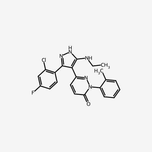 CCNc1[nH]nc(-c2ccc(F)cc2Cl)c1-c1ccc(=O)n(-c2ccccc2C)n1